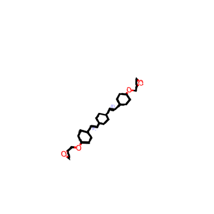 C(=C\C1CCC(OCC2CO2)CC1)/C1CCC(/C=C/C2CCC(OCC3CO3)CC2)CC1